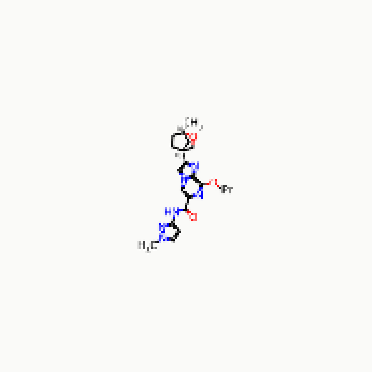 CC(C)Oc1nc(C(=O)Nc2ccn(C)n2)cn2cc([C@@]34CC[C@@](C)(C3)OC4)nc12